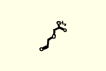 CC(=O)COCC=O